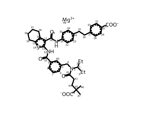 CCC(CC)N(Cc1cccc(C(=O)Nc2sc3c(c2C(=O)Nc2ccc(CCc4ccc(C(=O)[O-])cc4)cc2)CCCC3)c1)C(=O)CCC(C)(C)C(=O)[O-].[Mg+2]